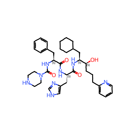 O=C(N[C@@H](CC1CCCCC1)[C@@H](O)CCCc1ccccn1)[C@H](Cc1c[nH]cn1)NC(=O)[C@H](Cc1ccccc1)NC(=O)N1CCNCC1